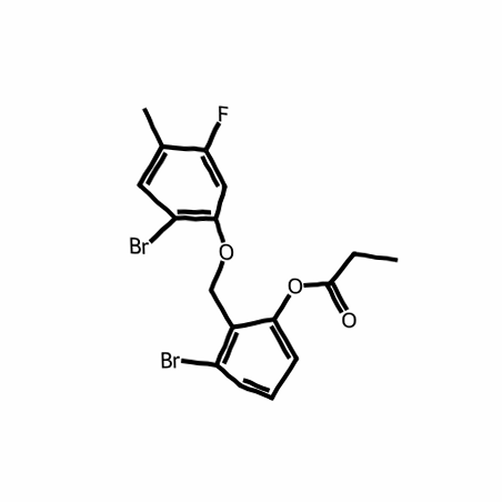 CCC(=O)Oc1cccc(Br)c1COc1cc(F)c(C)cc1Br